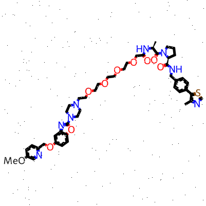 COc1ccc(COc2ccc3oc(N4CCN(CCOCCOCCOCCOCC(=O)N[C@@H](C)C(=O)N5CCC[C@H]5C(=O)NCc5ccc(-c6scnc6C)cc5)CC4)nc3c2)nc1